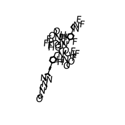 COC(=O)NC(C(=O)NC(Cc1ccc(C#Cc2cnc(N3CCN(C4COC4)CC3)nc2)cc1)C(O)CN(Cc1c(F)cc(-c2ccn(C(F)F)n2)cc1F)NC(=O)C(NC(=O)OC)C(C)(C)C(F)(F)F)C(C)(C)C(F)(F)F